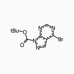 CC(C)(C)OC(=O)n1ncc2c(Br)ncnc21